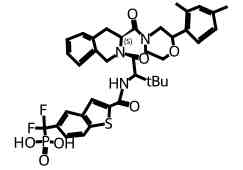 Cc1ccc(C2CN(C(=O)[C@@H]3Cc4ccccc4CN3C(=O)C(NC(=O)c3cc4cc(C(F)(F)P(=O)(O)O)ccc4s3)C(C)(C)C)CCO2)c(C)c1